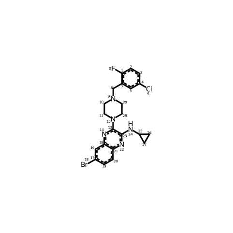 Fc1ccc(Cl)cc1CN1CCN(c2nc3cc(Br)ccc3nc2NC2CC2)CC1